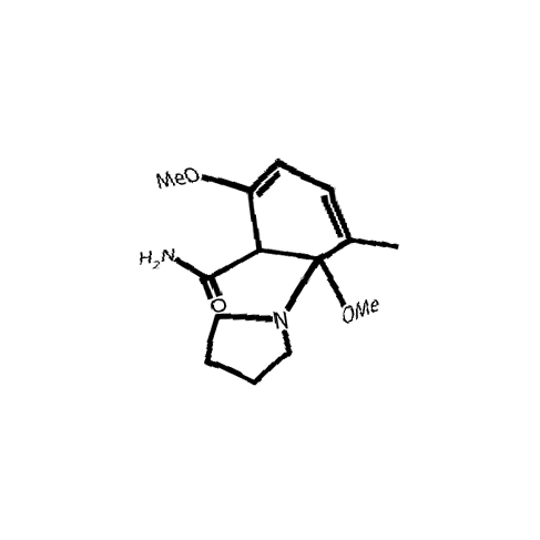 COC1=CC=C(C)C(OC)(N2CCCC2)C1C(N)=O